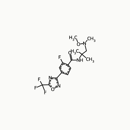 CON(C)CC(C)(C)NC(=O)c1ccc(-c2noc(C(F)(F)F)n2)cc1F